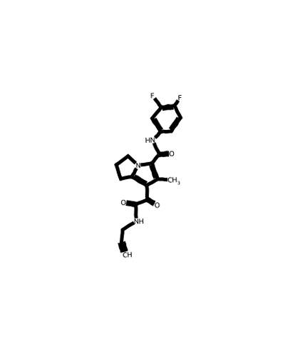 C#CCNC(=O)C(=O)c1c(C)c(C(=O)Nc2ccc(F)c(F)c2)n2c1CCC2